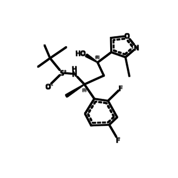 Cc1nocc1[C@H](O)C[C@@](C)(N[S+]([O-])C(C)(C)C)c1ccc(F)cc1F